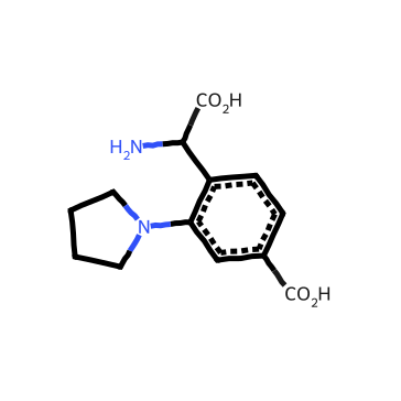 NC(C(=O)O)c1ccc(C(=O)O)cc1N1CCCC1